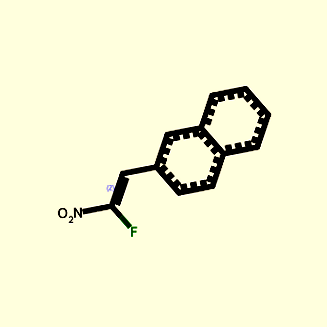 O=[N+]([O-])/C(F)=C/c1ccc2ccccc2c1